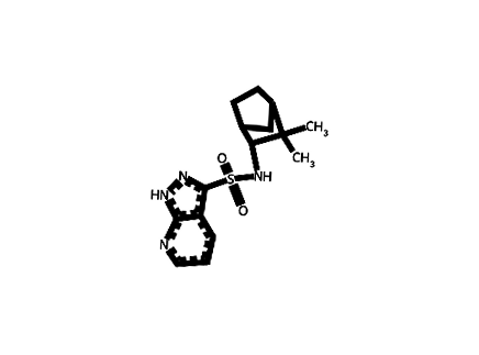 CC1(C)C2CCC(C2)C1NS(=O)(=O)c1n[nH]c2ncccc12